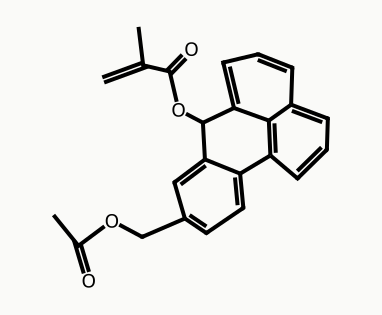 C=C(C)C(=O)OC1c2cc(COC(C)=O)ccc2-c2cccc3cccc1c23